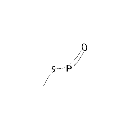 CSP=O